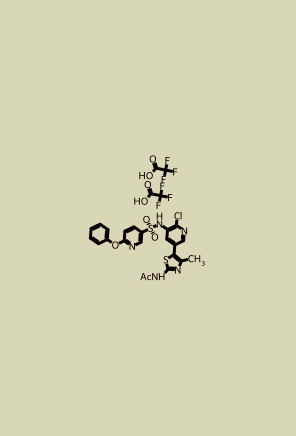 CC(=O)Nc1nc(C)c(-c2cnc(Cl)c(NS(=O)(=O)c3ccc(Oc4ccccc4)nc3)c2)s1.O=C(O)C(F)(F)F.O=C(O)C(F)(F)F